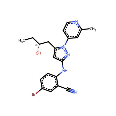 CC[C@@H](O)Cc1cc(Nc2ccc(Br)cc2C#N)nn1-c1ccnc(C)c1